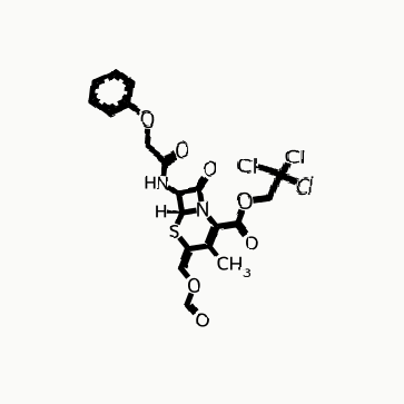 CC1=C(C(=O)OCC(Cl)(Cl)Cl)N2C(=O)C(NC(=O)COc3ccccc3)[C@H]2S/C1=C/OC=O